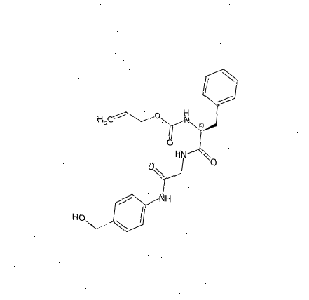 C=CCOC(=O)N[C@@H](Cc1ccccc1)C(=O)NCC(=O)Nc1ccc(CO)cc1